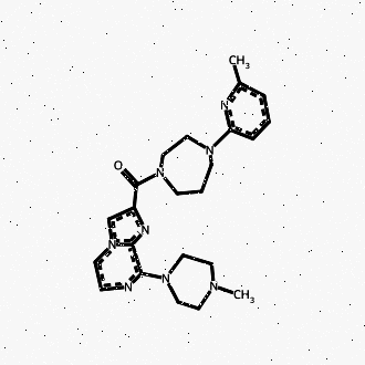 Cc1cccc(N2CCCN(C(=O)c3cn4ccnc(N5CCN(C)CC5)c4n3)CC2)n1